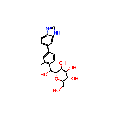 Cc1cc(-c2ccc3nc[nH]c3c2)ccc1[C@@H](O)[C@H]1OC(CO)[C@@H](O)[C@H](O)C1O